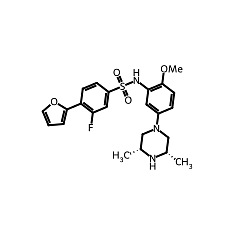 COc1ccc(N2C[C@@H](C)N[C@@H](C)C2)cc1NS(=O)(=O)c1ccc(-c2ccco2)c(F)c1